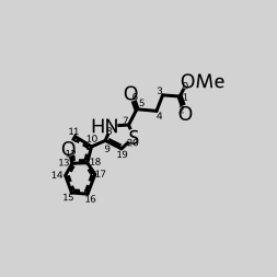 COC(=O)CCC(=O)C1NC(c2coc3ccccc23)=CS1